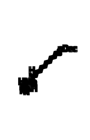 CCCCCCCCCCSCCCCCCCCCCNC(=O)Nc1nnn[nH]1